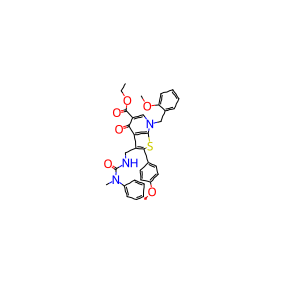 CCOC(=O)c1cn(Cc2ccccc2OC)c2sc(-c3ccc(OC)cc3)c(CNC(=O)N(C)c3ccccc3)c2c1=O